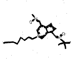 CCCCCCCn1cc(/C=[N+](/C)[O-])c2ccc(/C=[N+](\[O-])C(C)(C)C)c-2c1